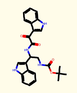 CC(C)(C)OC(=O)NCC(NC(=O)C(=O)c1c[nH]c2ccccc12)c1c[nH]c2ccccc12